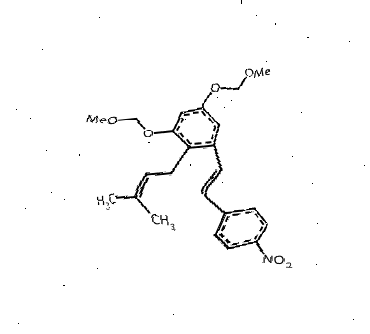 COCOc1cc(C=Cc2ccc([N+](=O)[O-])cc2)c(CC=C(C)C)c(OCOC)c1